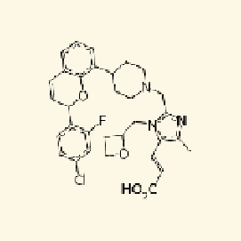 Cc1nc(CN2CCC(c3cccc4c3OC(c3ccc(Cl)cc3F)C=C4)CC2)n(CC2CCO2)c1/C=C/C(=O)O